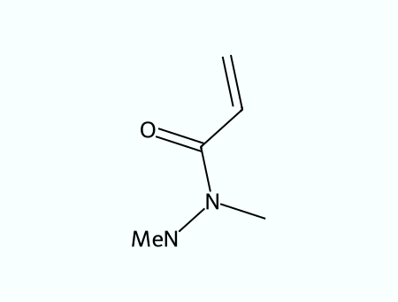 C=CC(=O)N(C)NC